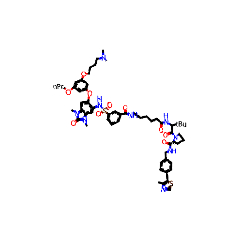 CCCOc1cc(OCCCCN(C)C)cc(Oc2cc3c(cc2NS(=O)(=O)c2cccc(C(=O)NCCCCCC(=O)NC(C(=O)N4CCC[C@H]4C(=O)NCc4ccc(-c5scnc5C)cc4)C(C)(C)C)c2)n(C)c(=O)n3C)c1